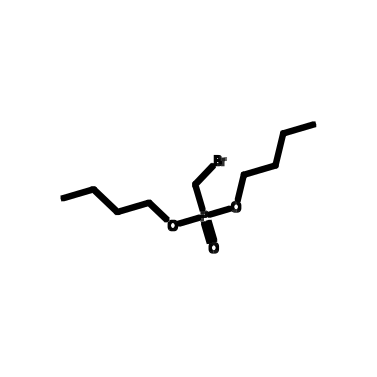 CCCCOP(=O)(CBr)OCCCC